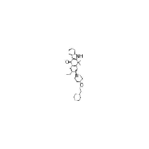 CCc1cc2c(cc1N1CCC(OCCC3CCCCC3)CC1)C(C)(C)c1[nH]c3ccccc3c1C2=O